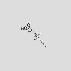 CCCCCCCC(=O)NCCc1ccc(O)c(OC)c1